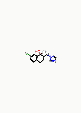 CC1(O)c2cc(Br)ccc2CCC1Cn1ccnc1